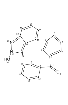 O=C(c1ccccc1)c1ccccc1.On1nc2ccccc2n1